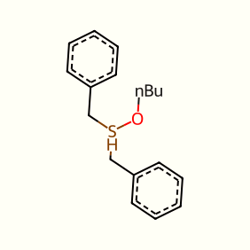 CCCCO[SH](Cc1ccccc1)Cc1ccccc1